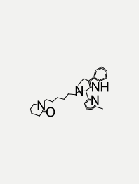 Cc1cccc(C2c3[nH]c4ccccc4c3CCN2CCCCCCN2CCCCC2=O)n1